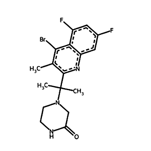 Cc1c(C(C)(C)N2CCNC(=O)C2)nc2cc(F)cc(F)c2c1Br